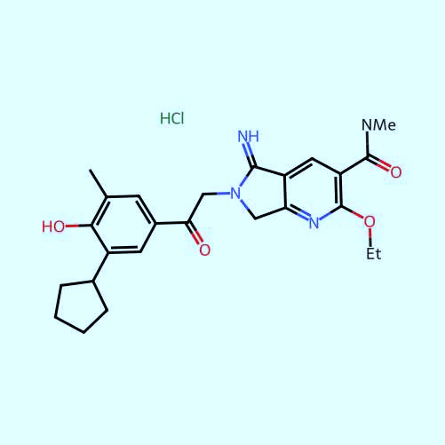 CCOc1nc2c(cc1C(=O)NC)C(=N)N(CC(=O)c1cc(C)c(O)c(C3CCCC3)c1)C2.Cl